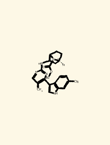 CC(C)(C)OC(=O)N1C2CC[C@H]1CC2Nc1ncc(C(F)(F)F)c(-c2c[nH]c3cc(C#N)ccc23)n1